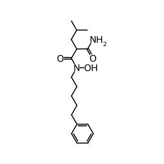 CC(C)CC(C(N)=O)C(=O)N(O)CCCCCc1ccccc1